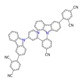 N#Cc1ccc(-c2ccc3c(c2)c2ccccc2n3-c2ccnc(-c3cc(C#N)ccc3-n3c4ccccc4c4cc(-c5ccc(C#N)cc5C#N)ccc43)c2)c(C#N)c1